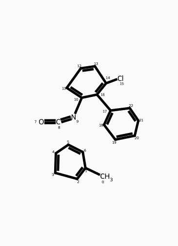 Cc1ccccc1.O=C=Nc1cccc(Cl)c1-c1ccccc1